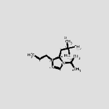 CCCN1N=CN(C(C)C)C1CC(C)(C)C